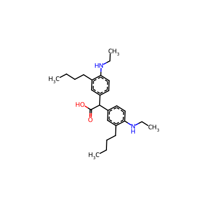 CCCCc1cc(C(C(=O)O)c2ccc(NCC)c(CCCC)c2)ccc1NCC